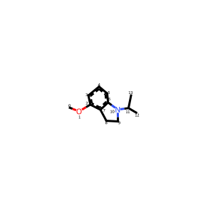 COc1cccc2c1CCN2C(C)C